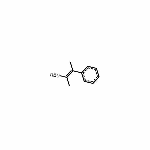 CCCCC(C)=C(C)c1ccccc1